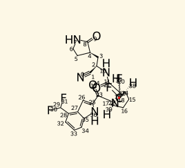 N#C[C@@H](C[C@H]1CCNC1=O)NC(=O)[C@H]1[C@H]2CC[C@H](CC2(F)F)N1C(=O)c1cc2c(C(F)F)cccc2[nH]1